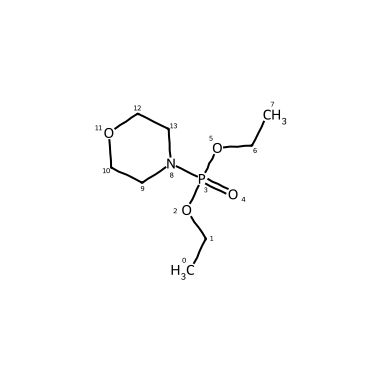 CCOP(=O)(OCC)N1CCOCC1